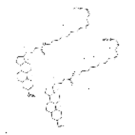 CCCCC/C=C\C/C=C\CCCCCCCCOC(=O)CC[C@@H](C)C1CCC2C3CCC4C[C@H](OC)CC[C@]4(C)C3CC[C@@]21C.CCCCC/C=C\C/C=C\CCCCCCCCOC(=O)CC[C@@H](C)C1CCC2C3CCC4C[C@H](OC)CC[C@]4(C)C3CC[C@@]21C